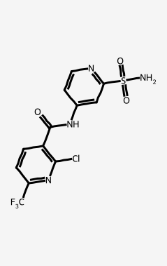 NS(=O)(=O)c1cc(NC(=O)c2ccc(C(F)(F)F)nc2Cl)ccn1